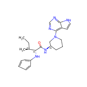 CC[C@H](C)[C@@H](Nc1ccccc1)C(=O)N[C@@H]1CCCN(c2ncnc3[nH]ccc23)C1